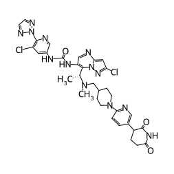 C[C@H](c1c(NC(=O)Nc2cnc(-n3nccn3)c(Cl)c2)cnc2cc(Cl)nn12)N(C)CC1CCN(c2ccc(C3CCC(=O)NC3=O)cn2)CC1